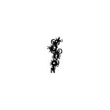 CC(C)(C)OC(=O)N1C[C@H](C(=O)N2CCN(c3ccc(C#N)cn3)CC2)OC(C)(C)C1